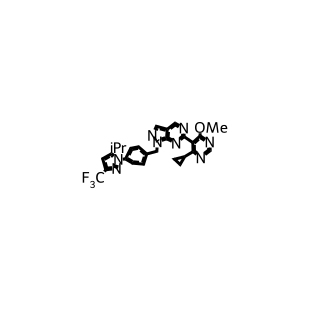 COc1ncnc(C2CC2)c1-c1ncc2cnn(Cc3ccc(-n4nc(C(F)(F)F)cc4C(C)C)cc3)c2n1